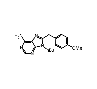 CCCCn1c(Cc2ccc(OC)cc2)nc2c(N)ncnc21